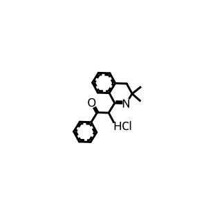 CC(C(=O)c1ccccc1)C1=NC(C)(C)Cc2ccccc21.Cl